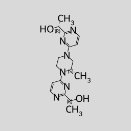 C[C@@H](O)c1nccc(N2CCN(c3ccnc([C@@H](C)O)n3)[C@@H](C)C2)n1